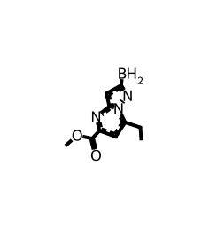 Bc1cc2nc(C(=O)OC)cc(CC)n2n1